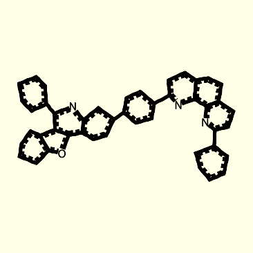 c1ccc(-c2ccc3ccc4ccc(-c5ccc(-c6ccc7c(c6)nc(-c6ccccc6)c6c8ccccc8oc76)cc5)nc4c3n2)cc1